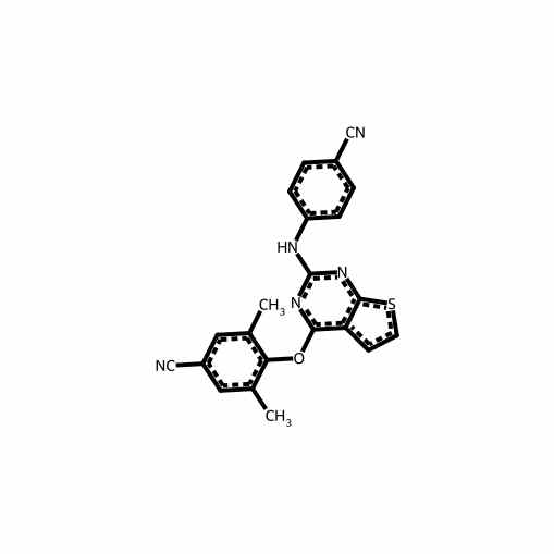 Cc1cc(C#N)cc(C)c1Oc1nc(Nc2ccc(C#N)cc2)nc2sccc12